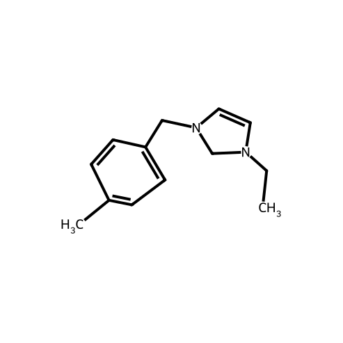 CCN1C=CN(Cc2ccc(C)cc2)C1